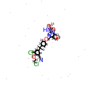 CC(C)(c1ccc(OCc2nc(NS(C)(=O)=O)nc3c2CCOC3)cc1)c1cc(Cl)c(OCCCl)c(C#N)c1